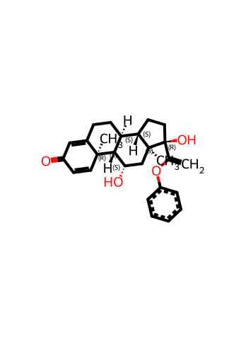 C=C(Oc1ccccc1)[C@@]1(O)CC[C@H]2[C@@H]3CCC4=CC(=O)C=C[C@]4(C)[C@H]3[C@@H](O)C[C@@]21C